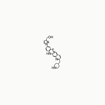 OCc1ccn(-c2ccc(Nc3cc4nc(CC5CCNCC5)ccc4cn3)c(F)c2)n1